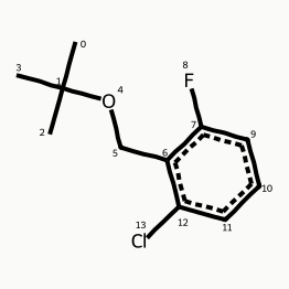 CC(C)(C)OCc1c(F)cccc1Cl